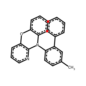 Cc1ccc(N2c3ncccc3Oc3cccnc32)c(-c2ccccc2)c1